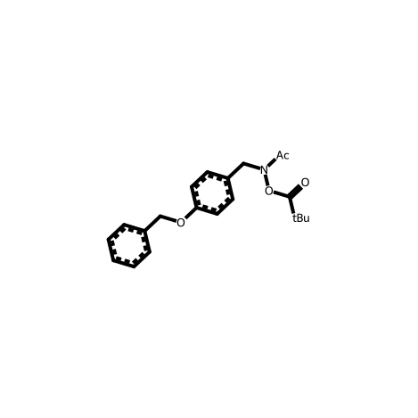 CC(=O)N(Cc1ccc(OCc2ccccc2)cc1)OC(=O)C(C)(C)C